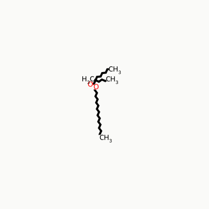 CCCCCCCCCCCCCCCCOC(=O)C(C)(CCCC)CCCCCC